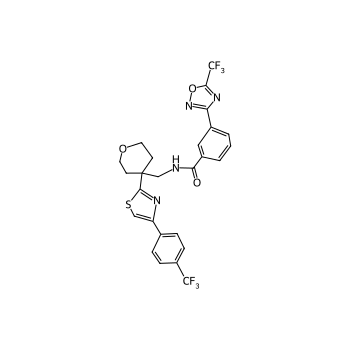 O=C(NCC1(c2nc(-c3ccc(C(F)(F)F)cc3)cs2)CCOCC1)c1cccc(-c2noc(C(F)(F)F)n2)c1